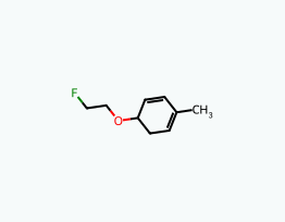 CC1=CCC(OCCF)C=C1